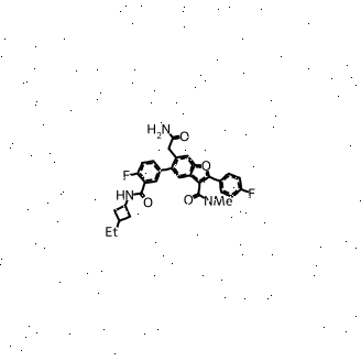 CCC1CC(NC(=O)c2cc(-c3cc4c(C(=O)NC)c(-c5ccc(F)cc5)oc4cc3CC(N)=O)ccc2F)C1